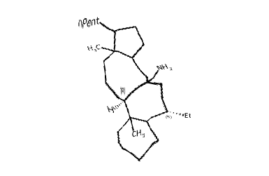 CCCCCC1CCC2C1(C)CC[C@@H]1C3(C)CCCCC3[C@@H](CC)CC21N